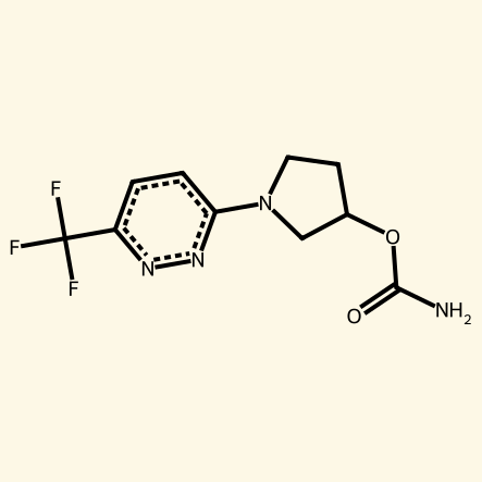 NC(=O)OC1CCN(c2ccc(C(F)(F)F)nn2)C1